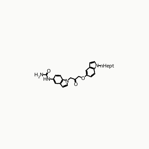 CCCCCCCn1ccc2cc(OCC(=O)Cn3ccc4cc(NC(N)=O)ccc43)ccc21